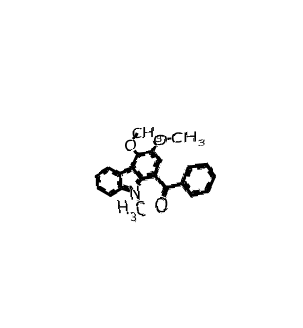 COc1cc(C(=O)c2ccccc2)c2c(c1OC)c1ccccc1n2C